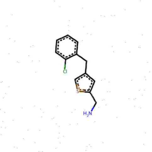 NCc1cc(Cc2ccccc2Cl)cs1